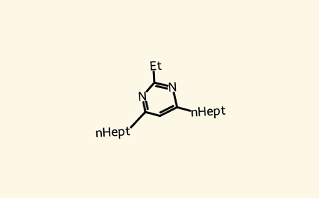 [CH2]Cc1nc(CCCCCCC)cc(CCCCCCC)n1